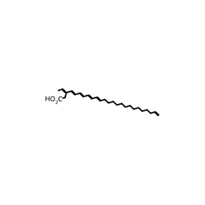 C=CCCCCCCCCCCCC/C=C/C=C/C=C/C=C/C(=C/C)CC(=O)O